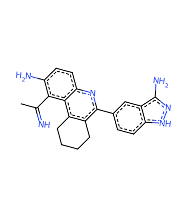 CC(=N)c1c(N)ccc2nc(-c3ccc4[nH]nc(N)c4c3)c3c(c12)CCCC3